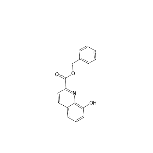 O=C(OCc1ccccc1)c1ccc2cccc(O)c2n1